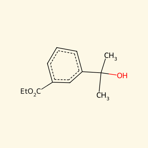 CCOC(=O)c1cccc(C(C)(C)O)c1